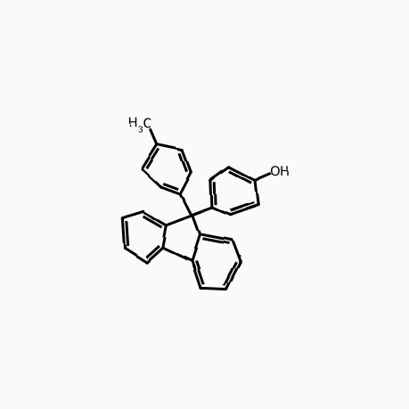 Cc1ccc(C2(c3ccc(O)cc3)c3ccccc3-c3ccccc32)cc1